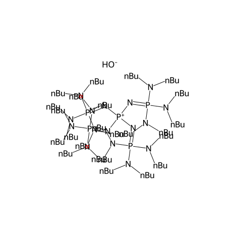 CCCCN(CCCC)P(=N[P+](N=P(N(CCCC)CCCC)(N(CCCC)CCCC)N(CCCC)CCCC)(N=P(N(CCCC)CCCC)(N(CCCC)CCCC)N(CCCC)CCCC)N=P(N(CCCC)CCCC)(N(CCCC)CCCC)N(CCCC)CCCC)(N(CCCC)CCCC)N(CCCC)CCCC.[OH-]